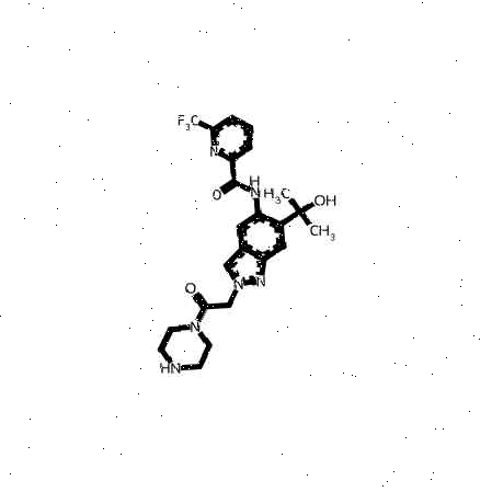 CC(C)(O)c1cc2nn(CC(=O)N3CCNCC3)cc2cc1NC(=O)c1cccc(C(F)(F)F)n1